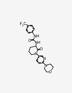 O=C(Nc1ccc(C(F)(F)F)cc1)NC1CCCN(c2ccc(N3CCOCC3)nc2)C1=O